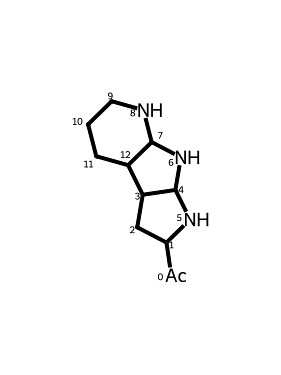 CC(=O)C1CC2C(N1)NC1NCCCC12